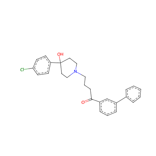 O=C(CCCN1CCC(O)(c2ccc(Cl)cc2)CC1)c1cccc(-c2ccccc2)c1